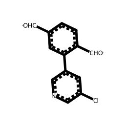 O=[C]c1ccc([C]=O)c(-c2cncc(Cl)c2)c1